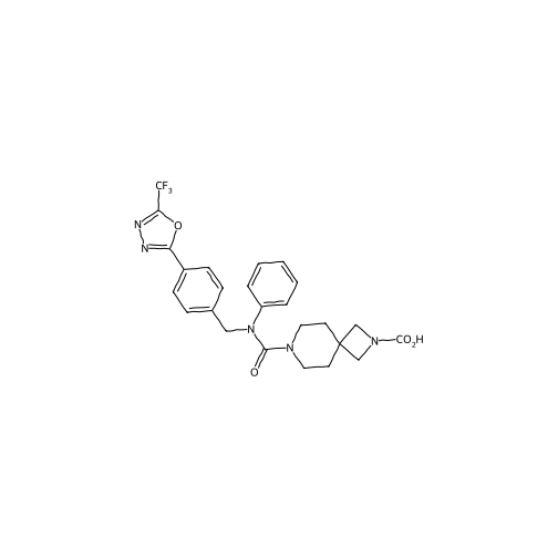 O=C(O)N1CC2(CCN(C(=O)N(Cc3ccc(-c4nnc(C(F)(F)F)o4)cc3)c3ccccc3)CC2)C1